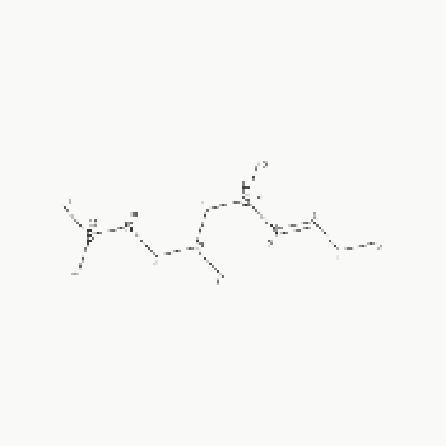 CCC=N[SH](C)CC(C)CSB(C)C